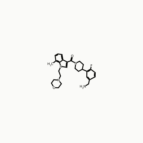 Cc1cccc2c(C(=O)N3CCC(c4cc(CN)ccc4F)CC3)cn(CCN3CCOCC3)c12